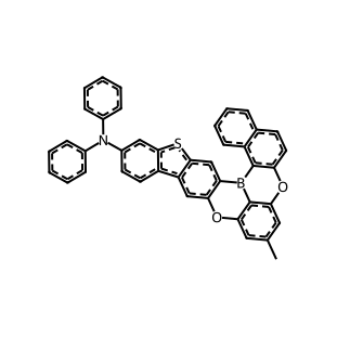 Cc1cc2c3c(c1)Oc1ccc4ccccc4c1B3c1cc3sc4cc(N(c5ccccc5)c5ccccc5)ccc4c3cc1O2